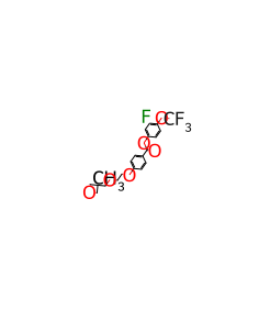 CC1(COCCOc2ccc(C(=O)Oc3ccc(OC(F)(F)F)c(F)c3)cc2)COC1